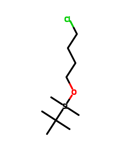 CC(C)(C)[Si](C)(C)OCCCCCl